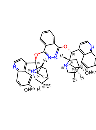 CC[C@H]1C[N@]2CCC1C[C@H]2[C@H](Oc1nnc(O[C@H](c2ccnc3ccc(OC)cc23)[C@@H]2C[C@@H]3CC[N@]2C[C@@H]3CC)c2ccccc12)c1ccnc2ccc(OC)cc12